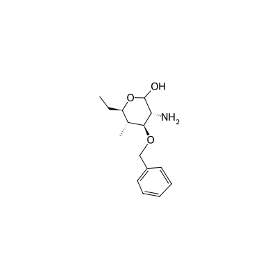 CC[C@H]1OC(O)[C@H](N)[C@@H](OCc2ccccc2)[C@@H]1C